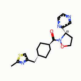 Cc1nc(C[C@H]2CC[C@H](C(=O)N3OCC[C@H]3c3cnccn3)CC2)cs1